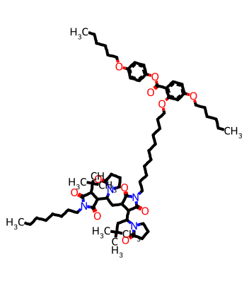 CCCCCCCCN1C(=O)C(C(CC2C(=O)N(CCCCCCCCCCCOc3cc(OCCCCCC)ccc3C(=O)Oc3ccc(OCCCCCC)cc3)C(=O)C2C(CC(C)(C)C)N2CCCC2=O)N2CCCC2=O)C(C(C)(C)C)C1=O